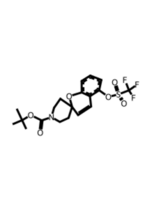 CC(C)(C)OC(=O)N1CCC2(C=Cc3c(cccc3OS(=O)(=O)C(F)(F)F)O2)CC1